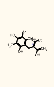 C=C(O)/C(Cc1c(O)c(C)c(O)c(C(C)=O)c1O)=C(/O)CC